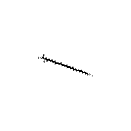 NCCCCCCCCCCCCCCCCCCCCCCCCCCCCCNC(=S)S